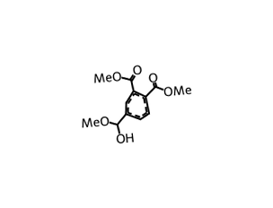 COC(=O)c1ccc(C(O)OC)cc1C(=O)OC